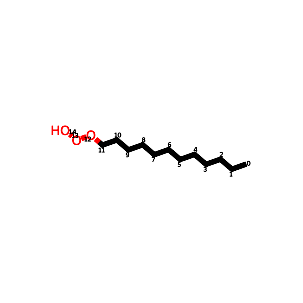 CCCCCCCCCCCCOOO